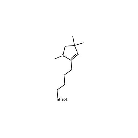 CCCCCCCCCCCC1=NC(C)(C)CN1C